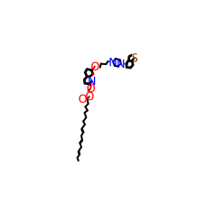 CCC=CCC=CCC=CCCCCCCCC(=O)OCOc1ccc2ccc(OCCCCN3CCN(c4cccc5sccc45)CC3)cc2n1